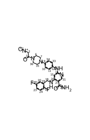 [C-]#[N+]CC(=O)N1CCN(c2ccc(Nc3cc(NCc4cc(F)ccc4F)c(C(N)=O)cn3)cc2)CC1